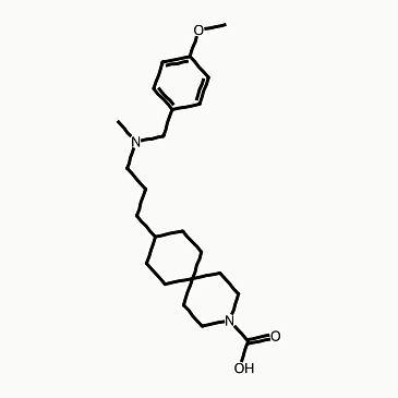 COc1ccc(CN(C)CCCC2CCC3(CC2)CCN(C(=O)O)CC3)cc1